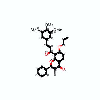 C=CCOc1ccc2c(=O)c(C)c(-c3ccccc3)oc2c1C(=O)C=Cc1cc(OC)c(OC)c(OC)c1